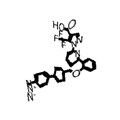 [N-]=[N+]=Nc1ccc(-c2ccc(COc3ccccc3-c3cccc(-n4ncc(C(=O)O)c4C(F)(F)F)n3)cc2)cc1